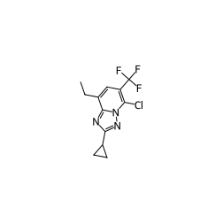 CCc1cc(C(F)(F)F)c(Cl)n2nc(C3CC3)nc12